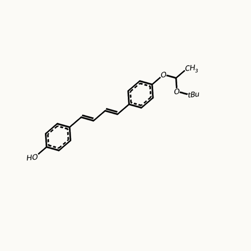 CC(Oc1ccc(C=CC=Cc2ccc(O)cc2)cc1)OC(C)(C)C